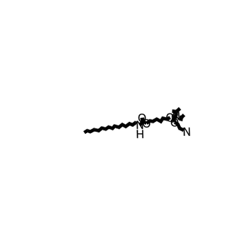 CCCCCCCCCCCCCCCCNC(=O)OCCCCCCOP(OCCC#N)N(C(C)C)C(C)C